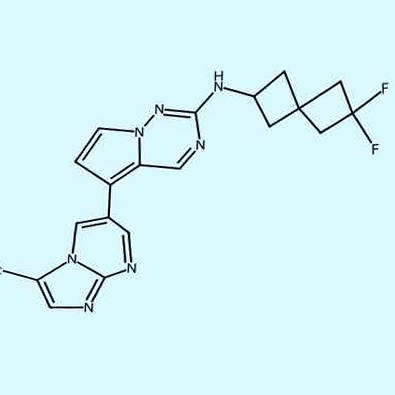 CCc1cnc2ncc(-c3ccn4nc(NC5CC6(C5)CC(F)(F)C6)ncc34)cn12